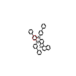 c1ccc(-c2ccc(N(c3ccccc3)c3ccc4c(sc5ccc6ccccc6c54)c3N(c3ccc(-c4ccccc4)cc3)c3cccc(-c4ccccc4)c3)cc2)cc1